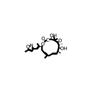 C/C1=C/C[C@@H](/C(C)=C/c2cc(C)on2)OC(=O)C[C@H](O)C(C)(C)C(=O)[C@H](C)[C@@H](O)[C@@H](C)/C=C/C1